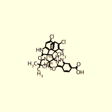 CC(C)(C)CN1[C@H]2COc3c4ccc(C(=O)O)cc4nn3[C@H]2[C@H](C2(C)CC=CC(Cl)=C2F)[C@]12C(=O)Nc1cc(Cl)ccc12